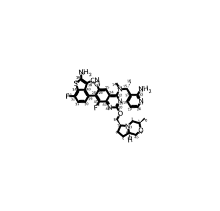 C[C@@H]1CN2[C@H](CC[C@H]2COc2nc(N(C)[C@H](C)c3cccnc3N)c3cc(Cl)c(-c4ccc(F)c5sc(N)c(C#N)c45)c(F)c3n2)CO1